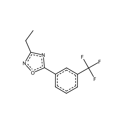 CCc1noc(-c2cccc(C(F)(F)F)c2)n1